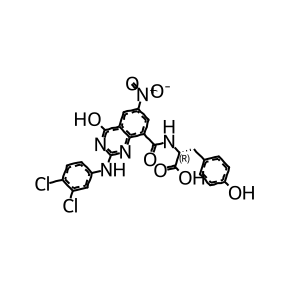 O=C(N[C@H](Cc1ccc(O)cc1)C(=O)O)c1cc([N+](=O)[O-])cc2c(O)nc(Nc3ccc(Cl)c(Cl)c3)nc12